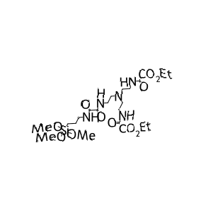 CCOC(=O)C(=O)NCCN(CCNC(=O)C(=O)NCCC[Si](OC)(OC)OC)CCNC(=O)C(=O)OCC